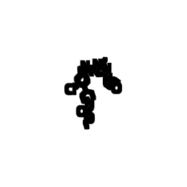 CCOC(=O)CN1CCC(c2cc3c(cnn3-c3cc(N4CC5CC4CO5)nc(C)n3)cc2Cl)CC1